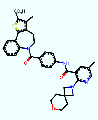 Cc1cnc(N2CC3(CCOCC3)C2)c(C(=O)Nc2ccc(C(=O)N3CCc4c(sc(C(=O)O)c4C)-c4ccccc43)cc2)c1